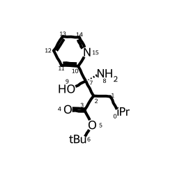 CC(C)CC(C(=O)OC(C)(C)C)[C@@](N)(O)c1ccccn1